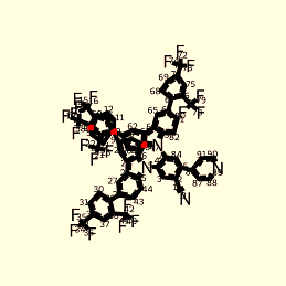 N#Cc1cc(-n2c3ccc(-c4ccc(C(F)(F)F)cc4C(F)(F)F)cc3c3cc(-c4ccc(C(F)(F)F)cc4C(F)(F)F)ccc32)c(-n2c3ccc(-c4ccc(C(F)(F)F)cc4)cc3c3cc(-c4ccc(C(F)(F)F)cc4C(F)(F)F)ccc32)cc1-c1ccncc1